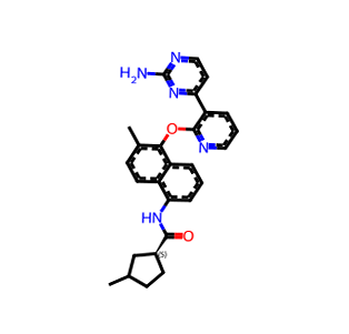 Cc1ccc2c(NC(=O)[C@H]3CCC(C)C3)cccc2c1Oc1ncccc1-c1ccnc(N)n1